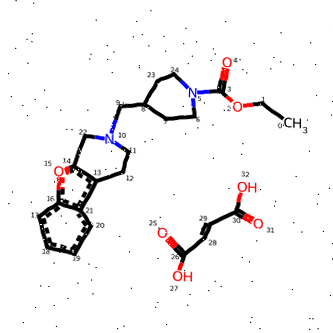 CCOC(=O)N1CCC(CN2CCc3c(oc4ccccc34)C2)CC1.O=C(O)C=CC(=O)O